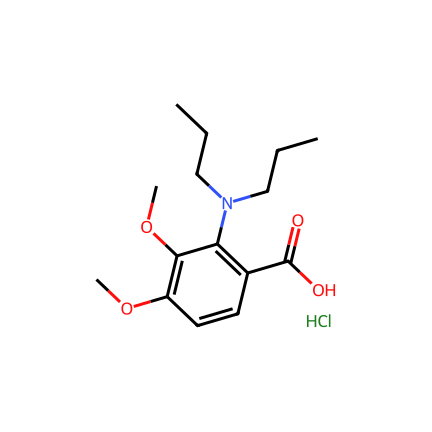 CCCN(CCC)c1c(C(=O)O)ccc(OC)c1OC.Cl